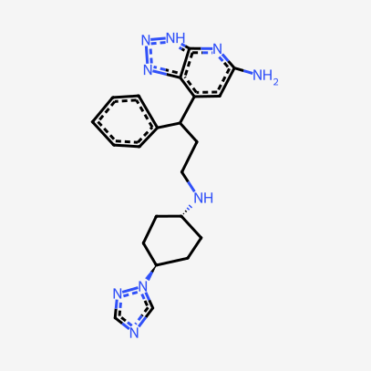 Nc1cc(C(CCN[C@H]2CC[C@H](n3cncn3)CC2)c2ccccc2)c2nn[nH]c2n1